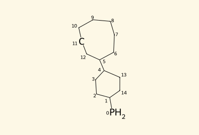 PC1CCC(C2CCCCCCC2)CC1